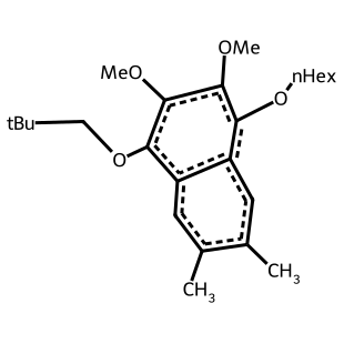 CCCCCCOc1c(OC)c(OC)c(OCC(C)(C)C)c2cc(C)c(C)cc12